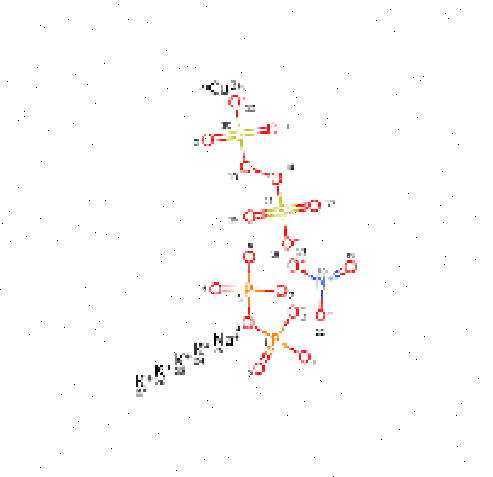 O=P([O-])([O-])OP(=O)([O-])[O-].O=S(=O)([O-])OOS(=O)(=O)[O-].O=[N+]([O-])[O-].[Cu+2].[K+].[K+].[K+].[K+].[Na+]